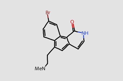 CNCCc1cc2cc[nH]c(=O)c2c2cc(Br)ccc12